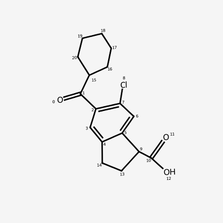 O=C(c1cc2c(cc1Cl)C(C(=O)O)CC2)C1CCCCC1